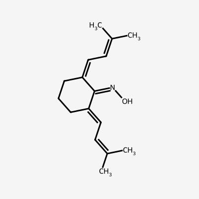 CC(C)=CC=C1CCCC(=CC=C(C)C)C1=NO